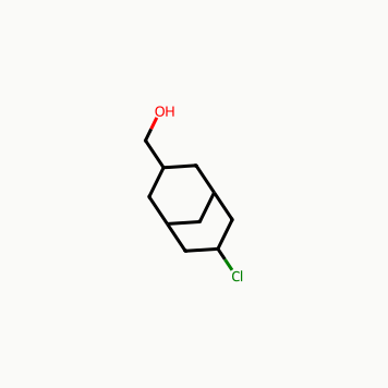 OCC1CC2CC(Cl)CC(C1)C2